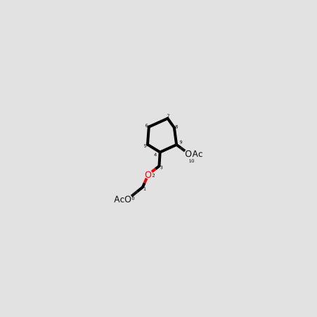 CC(=O)OCOCC1CCCCC1OC(C)=O